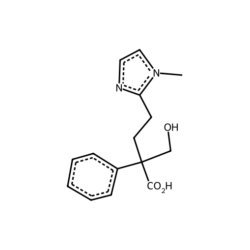 Cn1ccnc1CCC(CO)(C(=O)O)c1ccccc1